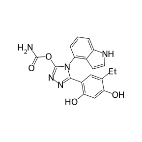 CCc1cc(-c2nnc(OC(N)=O)n2-c2cccc3[nH]ccc23)c(O)cc1O